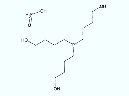 O=[PH2]O.OCCCCP(CCCCO)CCCCO